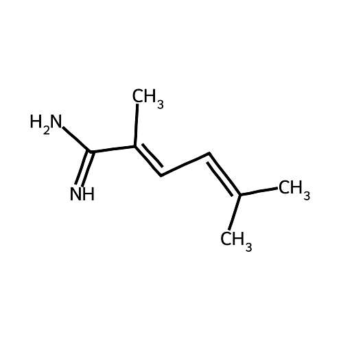 CC(C)=C/C=C(\C)C(=N)N